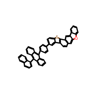 c1ccc2c(-c3c4ccccc4c(-c4ccc(-c5ccc6sc7c8cc9c(cc8ccc7c6c5)oc5ccccc59)cc4)c4ccccc34)cccc2c1